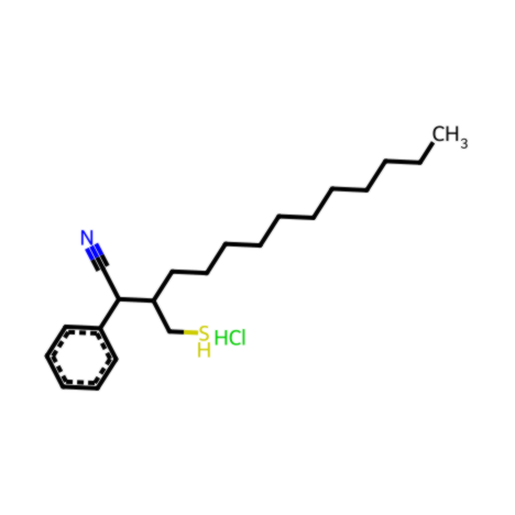 CCCCCCCCCCCC(CS)C(C#N)c1ccccc1.Cl